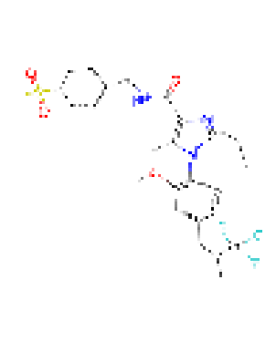 CCc1nc(C(=O)NC[C@H]2CC[C@H](S(C)(=O)=O)CC2)c(C)n1-c1ccc(CC(C)C(F)(F)F)cc1OC